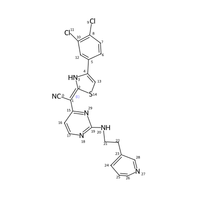 N#C/C(=C1\NC(c2ccc(Cl)c(Cl)c2)=CS1)c1ccnc(NCCc2cccnc2)n1